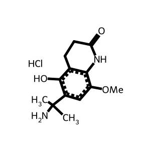 COc1cc(C(C)(C)N)c(O)c2c1NC(=O)CC2.Cl